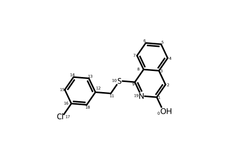 Oc1cc2ccccc2c(SCc2cccc(Cl)c2)n1